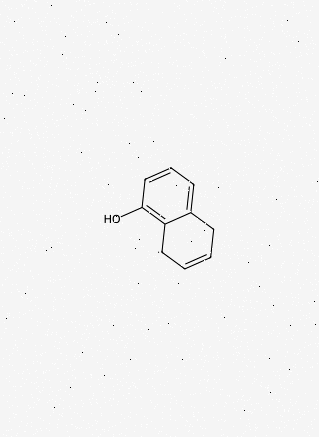 Oc1cccc2c1[CH]C=CC2